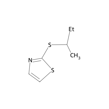 [CH2]CC(C)Sc1nccs1